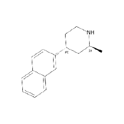 C[C@H]1C[C@H](c2ccc3ccccc3c2)CCN1